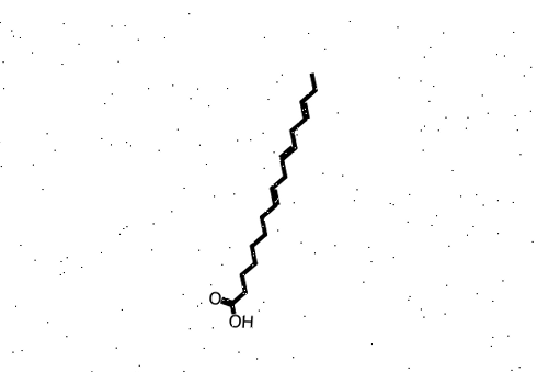 CCC=CCC=CCC=CCCCCCCC(=O)O